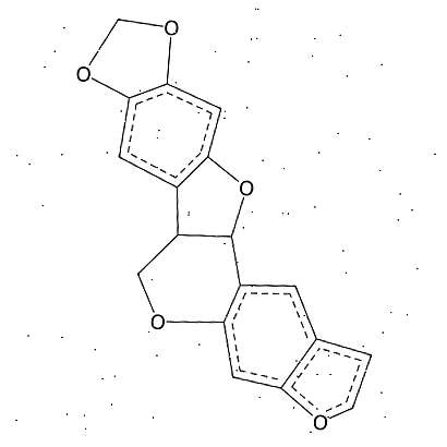 c1cc2cc3c(cc2o1)OCC1c2cc4c(cc2OC31)OCO4